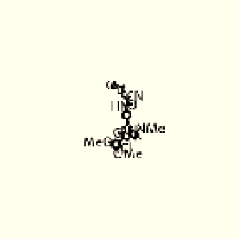 CNc1ncc2cc(-c3cc(OC)cc(OC)c3Cl)c(=O)n(CCc3ccc(NC(=O)C(C#N)=CC(C)(C)N(C)C4COC4)cc3)c2n1